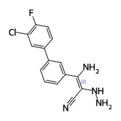 N#C/C(NN)=C(/N)c1cccc(-c2ccc(F)c(Cl)c2)c1